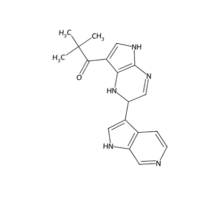 CC(C)(C)C(=O)c1c[nH]c2c1NC(c1c[nH]c3cnccc13)C=N2